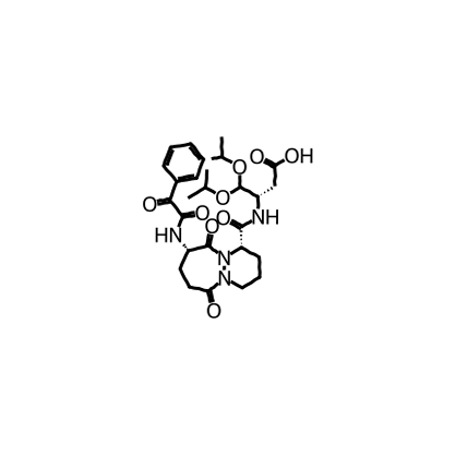 CC(C)OC(OC(C)C)[C@H](CC(=O)O)NC(=O)[C@@H]1CCCN2C(=O)CC[C@H](NC(=O)C(=O)c3ccccc3)C(=O)N12